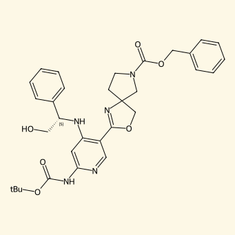 CC(C)(C)OC(=O)Nc1cc(N[C@H](CO)c2ccccc2)c(C2=NC3(CCN(C(=O)OCc4ccccc4)C3)CO2)cn1